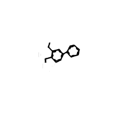 CCc1cc(-c2ccccc2)cc(P)c1C(C)O